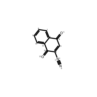 N#[N+]C1=CC(=O)c2ccccc2C1=O